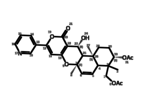 CC(=O)OCC1(C)C2C=C[C@@]3(C)Oc4cc(-c5cccnc5)oc(=O)c4[C@H](O)C3[C@@]2(C)CC[C@@H]1OC(C)=O